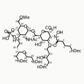 CCCCCCCCCCCCCC(=O)N(O)[C@@H]1[C@@H](OCC[C@H](O)CCCCCCCCCCC)[C@H](O)[C@@H](CO[C@@H]2O[C@H](COC)[C@@H](OP(=O)(O)O)[C@H](OCC[C@@H](CCCCCCCCCCC)OCCCCCCCCCCCC)[C@H]2NC(C)=O)O[C@@H]1C(=O)O